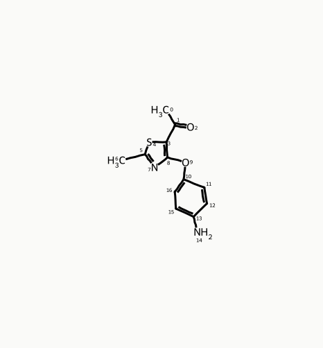 CC(=O)c1sc(C)nc1Oc1ccc(N)cc1